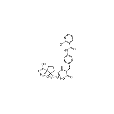 CC1(C)[C@@H](C(=O)N[C@@H](Cc2ccc(NC(=O)c3ccccc3Cl)cc2)C(=O)O)CC[C@@]1(C)C(=O)O